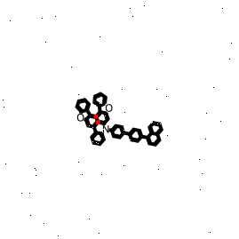 c1ccc(N(c2ccc(-c3ccc(-c4cccc5ccccc45)cc3)cc2)c2ccc3c(c2)oc2ccccc23)c(-c2ccc3c(c2)oc2ccccc23)c1